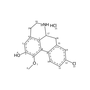 COc1c(O)cc2c3c1-c1ccc(Cl)cc1CC3NCC2.Cl